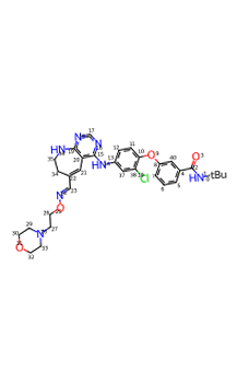 CC(C)(C)NC(=O)c1cccc(Oc2ccc(Nc3ncnc4c3C=C(/C=N/OCCN3CCOCC3)CCN4)cc2Cl)c1